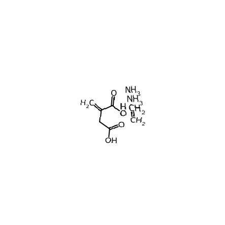 C=C.C=C(CC(=O)O)C(=O)O.N.N